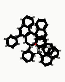 c1ccc(-c2cc3ccccc3c3c2CP(c2ccccc2[Si@H](c2ccccc2)c2cccc4ccccc24)Cc2c(-c4ccccc4)cc4ccccc4c2-3)cc1